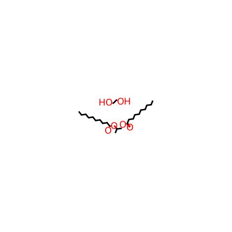 CCCCCCCCCC(=O)OCC(C)OC(=O)CCCCCCCCC.OCCO